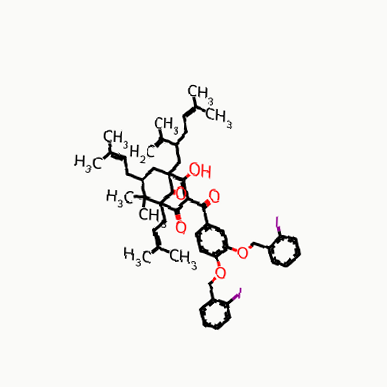 C=C(C)C(CC=C(C)C)CC12CC(CC=C(C)C)C(C)(C)C(CC=C(C)C)(C(=O)C(C(=O)c3ccc(OCc4ccccc4I)c(OCc4ccccc4I)c3)=C1O)C2=O